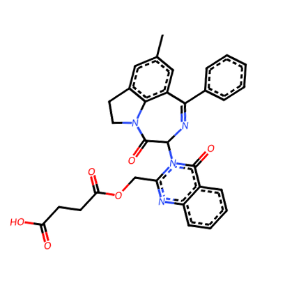 Cc1cc2c3c(c1)C(c1ccccc1)=NC(n1c(COC(=O)CCC(=O)O)nc4ccccc4c1=O)C(=O)N3CC2